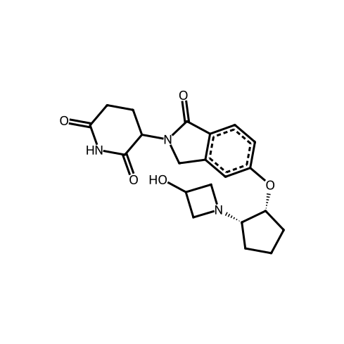 O=C1CCC(N2Cc3cc(O[C@@H]4CCC[C@@H]4N4CC(O)C4)ccc3C2=O)C(=O)N1